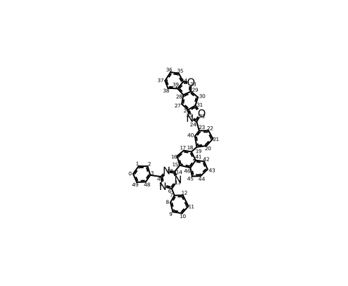 c1ccc(-c2nc(-c3ccccc3)nc(-c3ccc(-c4cccc(-c5nc6cc7c(cc6o5)oc5ccccc57)c4)c4ccccc34)n2)cc1